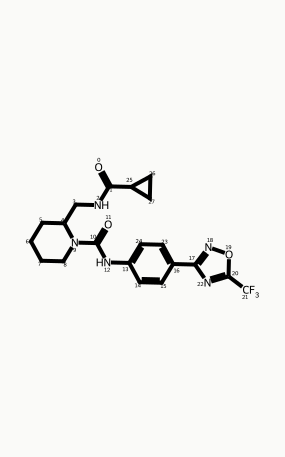 O=C(NCC1CCCCN1C(=O)Nc1ccc(-c2noc(C(F)(F)F)n2)cc1)C1CC1